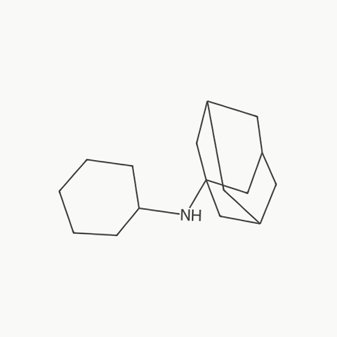 C1CCC(NC23CC4CC(CC(C4)C2)C3)CC1